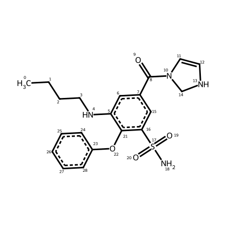 CCCCNc1cc(C(=O)N2C=CNC2)cc(S(N)(=O)=O)c1Oc1ccccc1